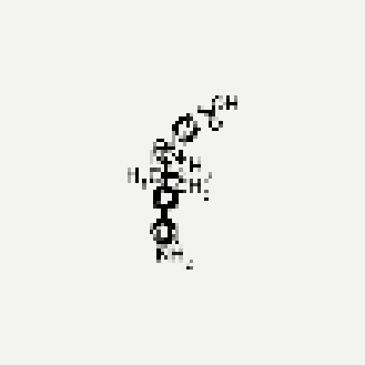 CC(C)C(C)(c1ccc(-c2cnc(N)nc2)cc1)c1noc(N2CCN(CC(=O)O)CC2)n1